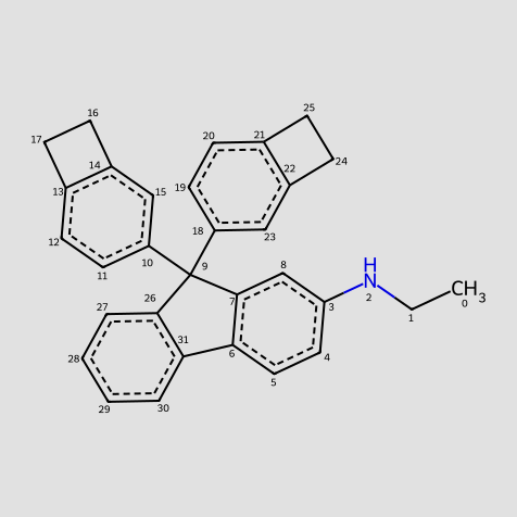 CCNc1ccc2c(c1)C(c1ccc3c(c1)CC3)(c1ccc3c(c1)CC3)c1ccccc1-2